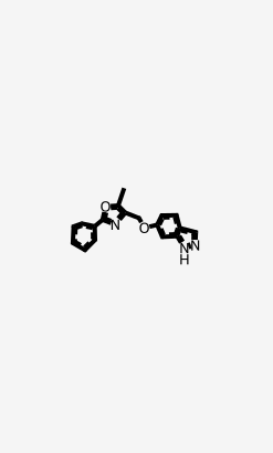 Cc1oc(-c2ccccc2)nc1COc1ccc2cn[nH]c2c1